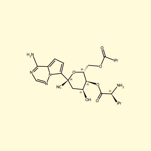 CC(C)C(=O)OC[C@H]1O[C@@](C#N)(c2ccc3c(N)ncnn23)C[C@H](O)[C@@H]1OC(=O)[C@@H](N)C(C)C